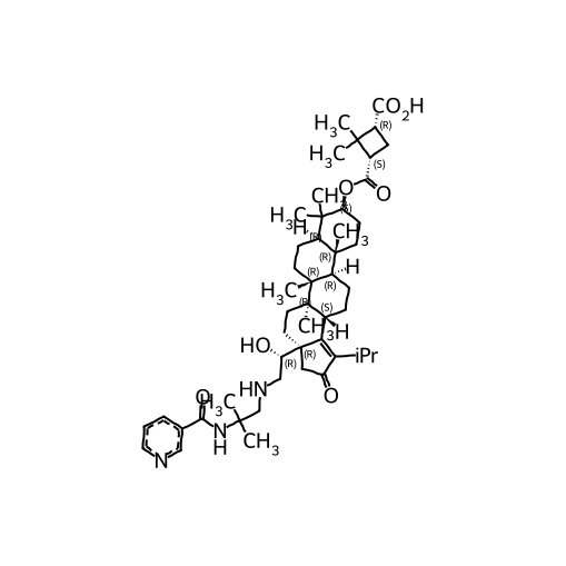 CC(C)C1=C2[C@H]3CC[C@@H]4[C@@]5(C)CC[C@H](OC(=O)[C@H]6C[C@@H](C(=O)O)C6(C)C)C(C)(C)[C@@H]5CC[C@@]4(C)[C@]3(C)CC[C@@]2([C@@H](O)CNCC(C)(C)NC(=O)c2cccnc2)CC1=O